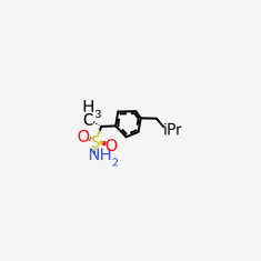 CC(C)Cc1ccc([C@@H](C)S(N)(=O)=O)cc1